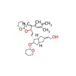 C=CC(C)=CC(=C)C(=C)[C@@H](C=C[C@@H]1[C@H]2CC(=CCO)C[C@H]2C[C@H]1OC1CCCCO1)OC1CCCCO1